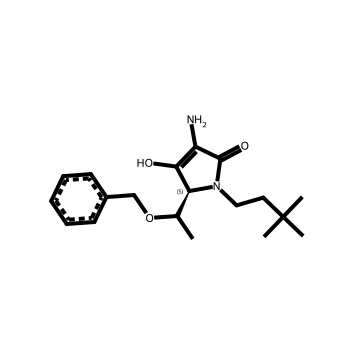 CC(OCc1ccccc1)[C@H]1C(O)=C(N)C(=O)N1CCC(C)(C)C